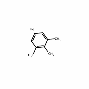 Cc1cccc(C)c1C.[Pd]